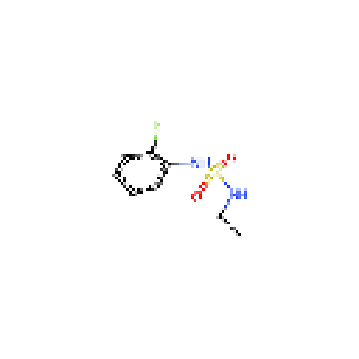 CCNS(=O)(=O)Nc1ccc[c]c1F